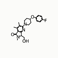 Cc1c(N2CCC(Oc3ccc(F)cc3)CC2)nc2c(c1C)C(=O)N(C)C2CO